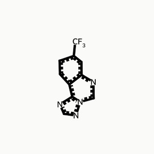 FC(F)(F)c1ccc2c(c1)ncn1ncnc21